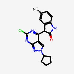 N#Cc1ccc2c(c1)C(c1nc(Cl)nc3nn(C4CCCC4)cc13)C(=O)N2